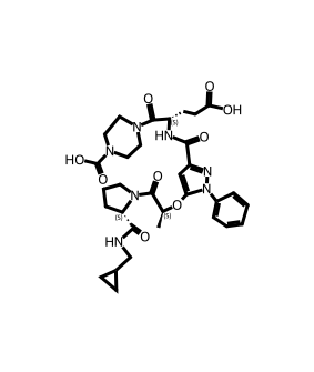 C[C@H](Oc1cc(C(=O)N[C@@H](CCC(=O)O)C(=O)N2CCN(C(=O)O)CC2)nn1-c1ccccc1)C(=O)N1CCC[C@H]1C(=O)NCC1CC1